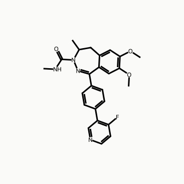 CNC(=O)N1N=C(c2ccc(-c3cnccc3F)cc2)c2cc(OC)c(OC)cc2CC1C